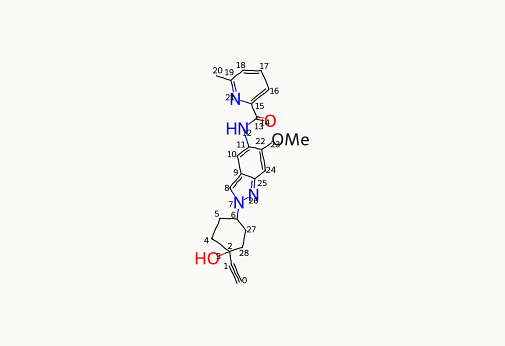 C#CC1(O)CCC(n2cc3cc(NC(=O)c4cccc(C)n4)c(OC)cc3n2)CC1